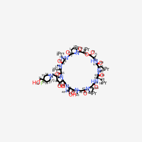 CC(C)C[C@@H]1C(=O)N[C@H](CC(C)C)C(=O)N(C)[C@H](C(C)C)C(=O)N(C)[C@H]([C@H](O)[C@H](C)CCN2CCC(F)(CO)CC2)C(=O)N[C@H]([C@@H](C)O)C(=O)N(C)CC(=O)N(C)[C@@H](CC(C)C)C(=O)N[C@H](CC(C)C)C(=O)N(C)[C@H](CC(C)C)C(=O)N[C@H](C)C(=O)O[C@@H](C(C)C)C(=O)N1C